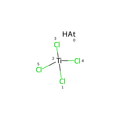 [AtH].[Cl][Ti]([Cl])([Cl])[Cl]